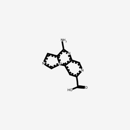 Nc1nc2cnc(C(=O)O)cc2n2cncc12